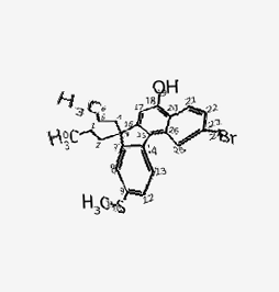 CCCC1(CCC)c2cc(SC)ccc2-c2c1cc(O)c1ccc(Br)cc21